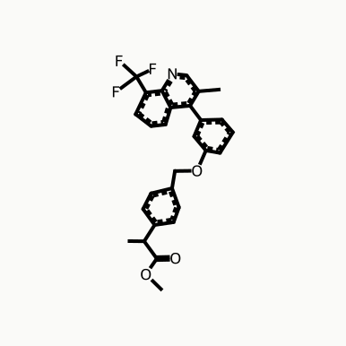 COC(=O)C(C)c1ccc(COc2cccc(-c3c(C)cnc4c(C(F)(F)F)cccc34)c2)cc1